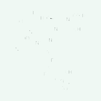 CC(C)c1nccc(CCC(F)(F)CO[Si](C)(C)C(C)(C)C)c1-n1c(=O)nc(N2C[C@@H](C)N(C(=O)O)C[C@@H]2C)c2cc(F)c(Cl)nc21